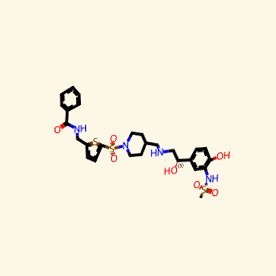 CS(=O)(=O)Nc1cc([C@H](O)CNCC2CCN(S(=O)(=O)c3ccc(CNC(=O)c4ccccc4)s3)CC2)ccc1O